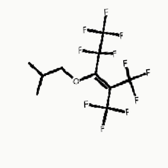 CC(C)COC(=C(C(F)(F)F)C(F)(F)F)C(F)(F)C(F)(F)F